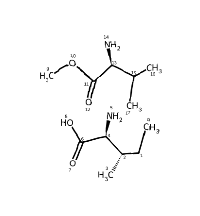 CC[C@H](C)[C@H](N)C(=O)O.COC(=O)[C@@H](N)C(C)C